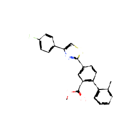 COC(=O)c1cc(-c2nc(-c3ccc(F)cc3)cs2)ccc1-c1ccccc1C